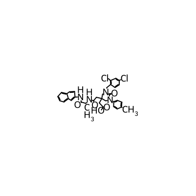 Cc1ccc(N2CC(CC(=O)O)(CC(=O)NC(C)C(=O)Nc3ccc4ccccc4c3)CN(Cc3ccc(Cl)cc3Cl)C2=O)cc1